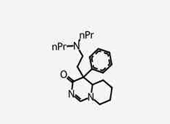 CCCN(CCC)CCC1(c2ccccc2)C(=O)N=CN2CCCCC21